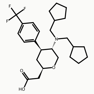 O=C(O)C[C@H]1C[C@@H](c2ccc(C(F)(F)F)cc2)[C@H](N(CC2CCCC2)CC2CCCC2)CO1